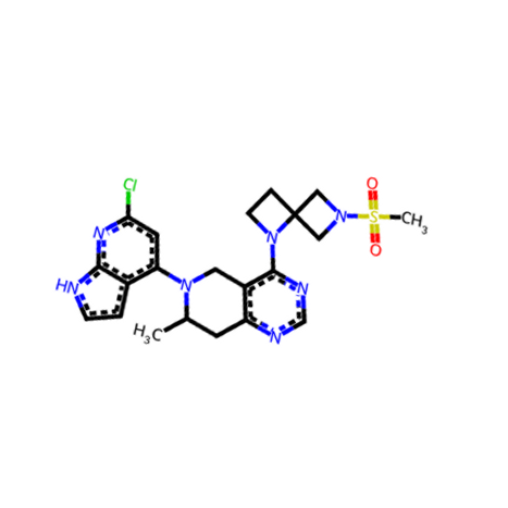 CC1Cc2ncnc(N3CCC34CN(S(C)(=O)=O)C4)c2CN1c1cc(Cl)nc2[nH]ccc12